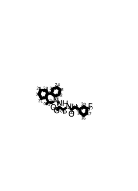 CC1C(=O)N(NC(=O)[C@H](C)NC(=O)Cc2cccc(F)c2)c2ccccc2-c2ccccc21